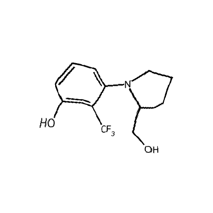 OCC1CCCN1c1cccc(O)c1C(F)(F)F